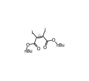 CCCCOC(=O)/C(I)=C(/I)C(=O)OCCCC